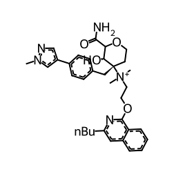 CCCCc1cc2ccccc2c(OCC[N+](C)(C)[C@@]2(Cc3ccc(-c4cnn(C)c4)cc3)CCOC(C(N)=O)[C@@H]2O)n1